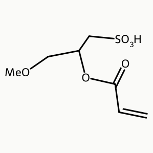 C=CC(=O)OC(COC)CS(=O)(=O)O